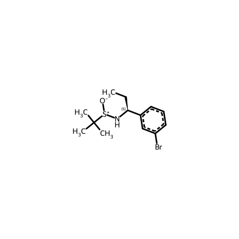 CC[C@H](N[S+]([O-])C(C)(C)C)c1cccc(Br)c1